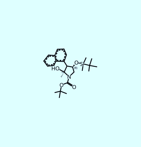 CC(C)(C)OC(=O)N1C[C@H](O[Si](C)(C)C(C)(C)C)C(c2cccc3ccccc23)[C@]1(C)O